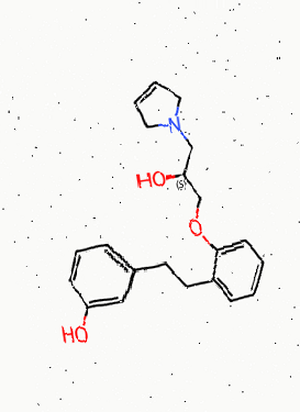 Oc1cccc(CCc2ccccc2OC[C@@H](O)CN2CC=CC2)c1